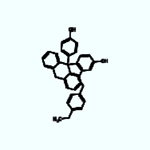 CCc1ccc(CCc2cc(O)ccc2C2(c3ccc(O)cc3)c3ccccc3Cc3ccccc32)cc1